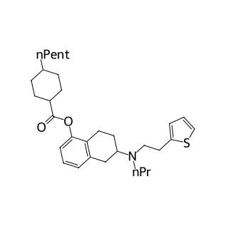 CCCCCC1CCC(C(=O)Oc2cccc3c2CCC(N(CCC)CCc2cccs2)C3)CC1